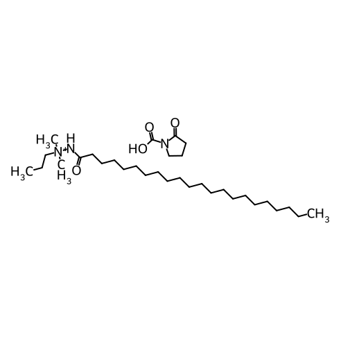 CCCCCCCCCCCCCCCCCCCCCC(=O)N[N+](C)(C)CCC.O=C(O)N1CCCC1=O